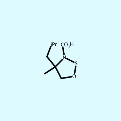 CC(C)CC1(C)COSN1C(=O)O